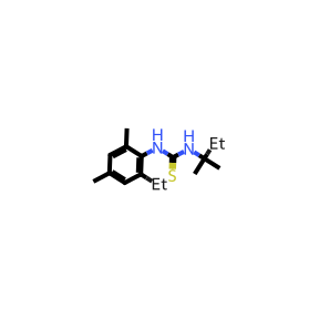 CCc1cc(C)cc(C)c1NC(=S)NC(C)(C)CC